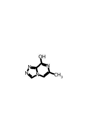 Cc1cn2cnnc2c(O)n1